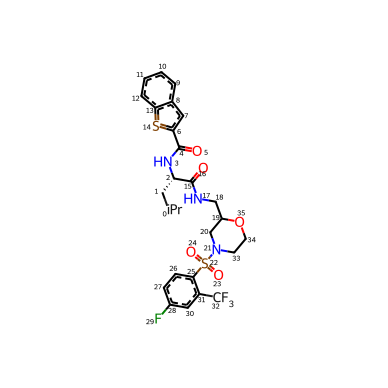 CC(C)C[C@H](NC(=O)c1cc2ccccc2s1)C(=O)NCC1CN(S(=O)(=O)c2ccc(F)cc2C(F)(F)F)CCO1